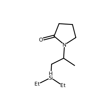 CC[SiH](CC)CC(C)N1CCCC1=O